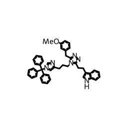 COc1cccc(Cc2nnc(CCc3c[nH]c4ccccc34)n2CCCc2cn(C(c3ccccc3)(c3ccccc3)c3ccccc3)cn2)c1